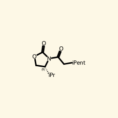 CCCC(C)CC(=O)N1C(=O)OC[C@H]1C(C)C